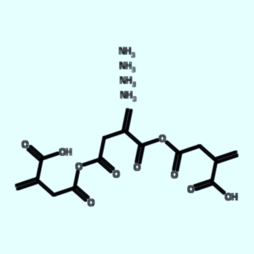 C=C(CC(=O)OC(=O)CC(=C)C(=O)OC(=O)CC(=C)C(=O)O)C(=O)O.N.N.N.N